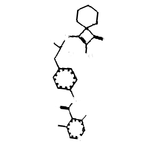 CC[C@@](Cc1ccc(NC(=O)c2c(Cl)cncc2Cl)cc1)(NC1=C(O)C(=O)C12CCCCC2)C(=O)O